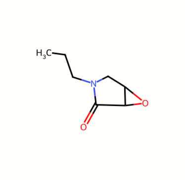 CCCN1CC2OC2C1=O